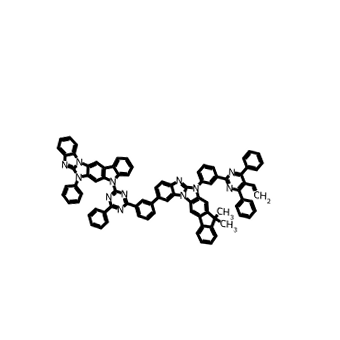 C=Cc1c(-c2ccccc2)nc(-c2cccc(-n3c4cc5c(cc4n4c6cc(-c7cccc(-c8nc(-c9ccccc9)nc(-n9c%10ccccc%10c%10cc%11c(cc%109)n(-c9ccccc9)c9nc%10ccccc%10n%119)n8)c7)ccc6nc34)-c3ccccc3C5(C)C)c2)nc1-c1ccccc1